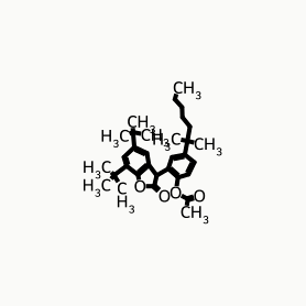 CCCCCC(C)(C)c1ccc(OC(C)=O)c(C2C(=O)Oc3c2cc(C(C)(C)C)cc3C(C)(C)C)c1